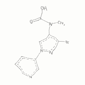 CN(C(=O)O)c1cn(-c2cccnc2)nc1Br